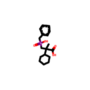 CC(CP(=O)(O)Cc1ccccc1)(C(=O)O)C1CCCCC1